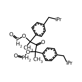 CC(C)Cc1ccc(C(C)(O[PH2]=O)C(=O)C(C)(O[PH2]=O)c2ccc(CC(C)C)cc2)cc1